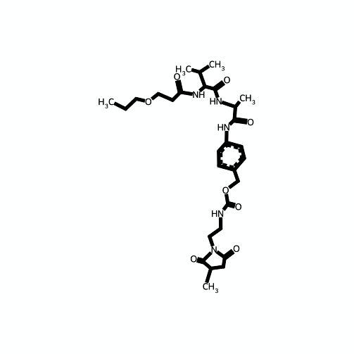 CCCOCCC(=O)NC(C(=O)NC(C)C(=O)Nc1ccc(COC(=O)NCCN2C(=O)CC(C)C2=O)cc1)C(C)C